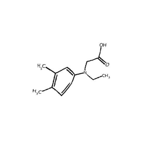 CCN(CC(=O)O)c1ccc(C)c(C)c1